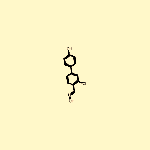 O/N=C/c1ccc(-c2ccc(O)cc2)cc1Cl